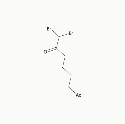 CC(=O)CCCCC(=O)C(Br)Br